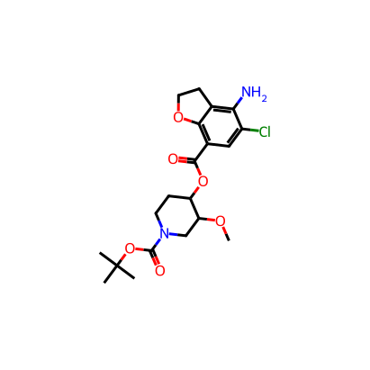 COC1CN(C(=O)OC(C)(C)C)CCC1OC(=O)c1cc(Cl)c(N)c2c1OCC2